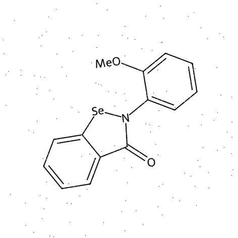 COc1ccccc1-n1[se]c2ccccc2c1=O